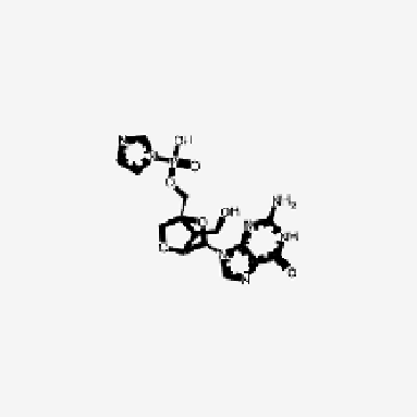 Nc1nc2c(ncn2[C@@H]2O[C@@]3(COP(=O)(O)n4ccnc4)COC2C3CO)c(=O)[nH]1